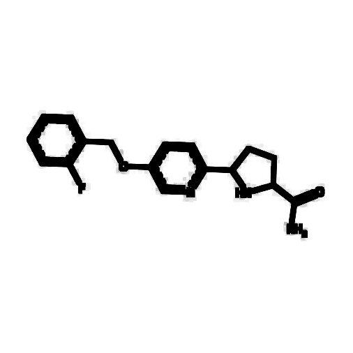 NC(=O)C1CCC(c2ccc(OCc3ccccc3F)cn2)N1